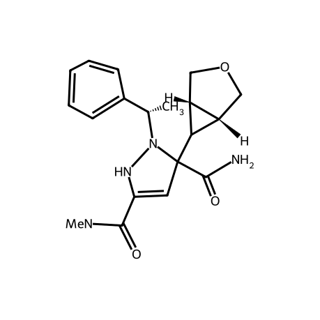 CNC(=O)C1=CC(C(N)=O)(C2[C@H]3COC[C@@H]23)N([C@@H](C)c2ccccc2)N1